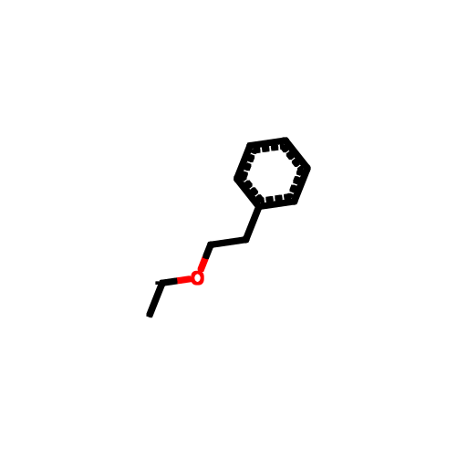 C[CH]OCCc1ccccc1